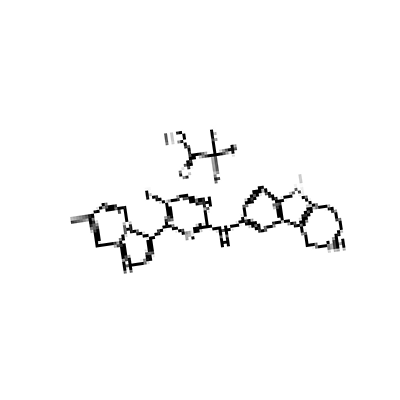 Fc1ccn2c(-c3nc(Nc4ccc5[nH]c6c(c5c4)CNCC6)ncc3F)cnc2c1.O=C(O)C(F)(F)F